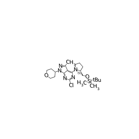 Cc1nn(C2CCOCC2)c2nc(Cl)nc(N3CCC[C@H]3CO[Si](C)(C)C(C)(C)C)c12